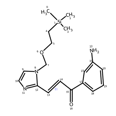 C[Si](C)(C)CCOCn1ccnc1/C=C/C(=O)c1cccc(N)c1